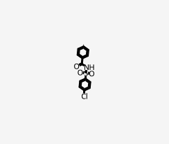 O=C(NS(=O)(=O)c1ccc(Cl)cc1)c1cc[c]cc1